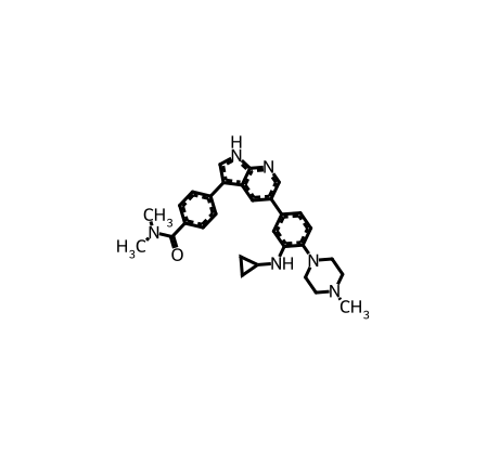 CN1CCN(c2ccc(-c3cnc4[nH]cc(-c5ccc(C(=O)N(C)C)cc5)c4c3)cc2NC2CC2)CC1